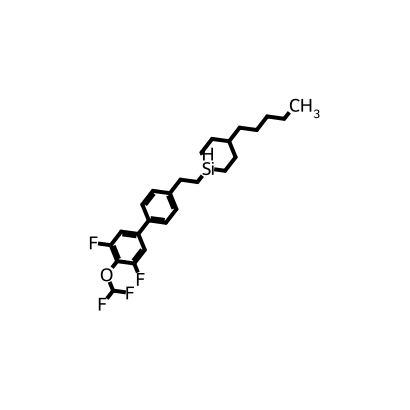 CCCCCC1CC[SiH](CCc2ccc(-c3cc(F)c(OC(F)F)c(F)c3)cc2)CC1